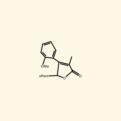 CCCCCC1OC(=O)C(C)=C1c1ccccc1OC